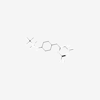 CNC[C@H](CC1CCC(O[Si](C)(C)C(C)(C)C)CC1)NC(=O)O